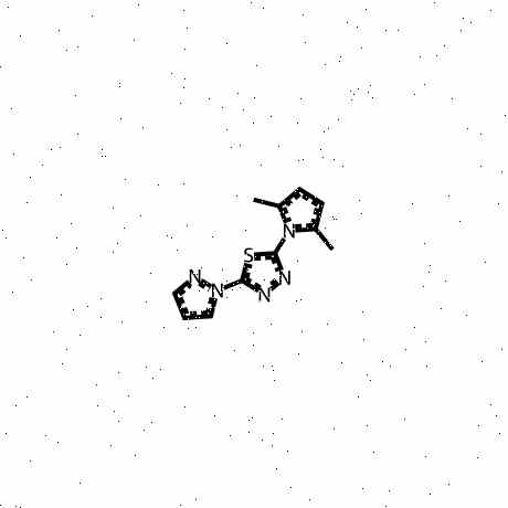 Cc1ccc(C)n1-c1nnc(-n2cccn2)s1